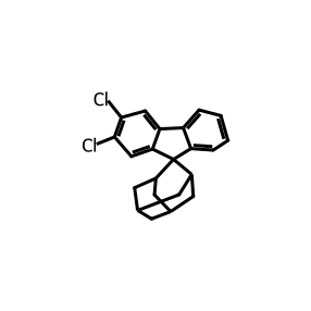 Clc1cc2c(cc1Cl)C1(c3ccccc3-2)C2CC3CC(C2)CC1C3